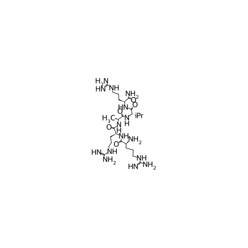 CC(C)[C@H](NC(=O)[C@H](C)NC(=O)[C@H](CCCNC(=N)N)NC(=O)[C@@H](N)CCCNC(=N)N)C(=O)N[C@@H](CCCNC(=N)N)C(N)=O